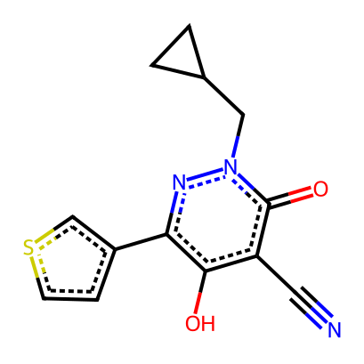 N#Cc1c(O)c(-c2ccsc2)nn(CC2CC2)c1=O